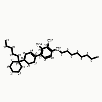 CCCCCCCCOc1ccc(C2=CCC(C3(CCCCC)CCCCC3)CC2)c(F)c1F